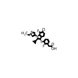 CCn1cc(-n2c(C3CC3)c(Sc3cccc(CC(=O)O)c3F)c3ccc(Cl)c(F)c32)cn1